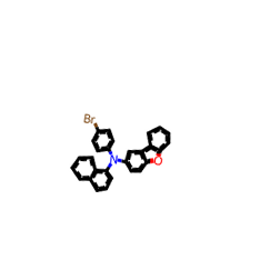 Brc1ccc(N(c2ccc3oc4ccccc4c3c2)c2cccc3ccccc23)cc1